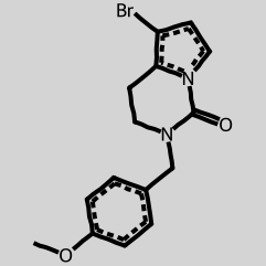 COc1ccc(CN2CCc3c(Br)ccn3C2=O)cc1